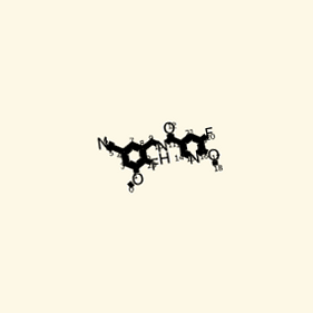 COc1cc(C#N)cc(CNC(=O)c2cnc(OC)c(F)c2)c1F